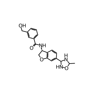 CC1NC(c2ccc3c(c2)OC[C@H]3NC(=O)c2cccc(CO)c2)NO1